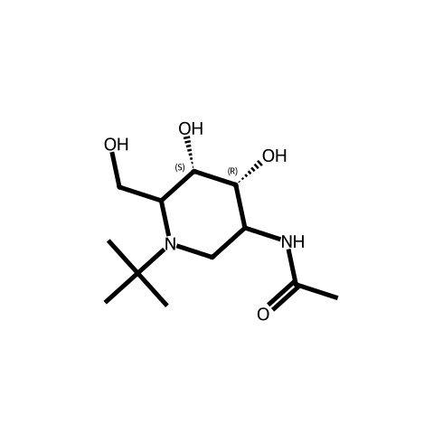 CC(=O)NC1CN(C(C)(C)C)C(CO)[C@H](O)[C@@H]1O